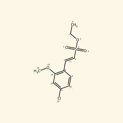 CCOS(=O)(=O)/C=C/c1ccc(Cl)cc1OC